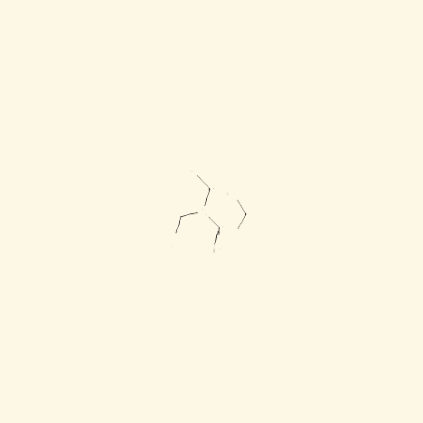 CC(=O)CC(=O)O.CC(C)[CH2][Al]([CH2]C(C)C)[CH2]C(C)C